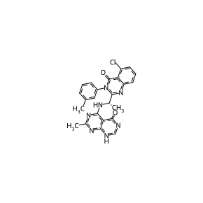 Cc1cccc(-n2c([C@H](C)Nc3nc(C)nc4[nH]cnc(=O)c34)nc3cccc(Cl)c3c2=O)c1